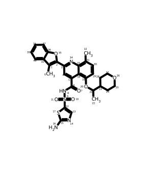 Cc1c(-c2cc(C(=O)NS(=O)(=O)c3cnc(N)s3)c3c(OC(C)C4CCOCC4)ccc(C)c3n2)oc2ccccc12